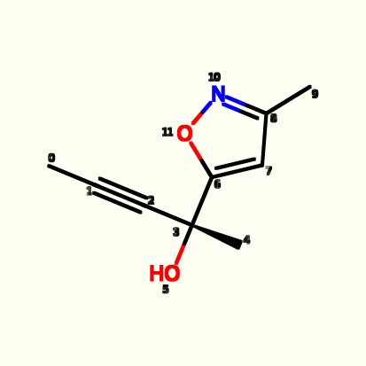 CC#C[C@@](C)(O)c1cc(C)no1